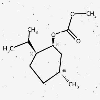 COC(=O)O[C@H]1C[C@H](C)CC[C@H]1C(C)C